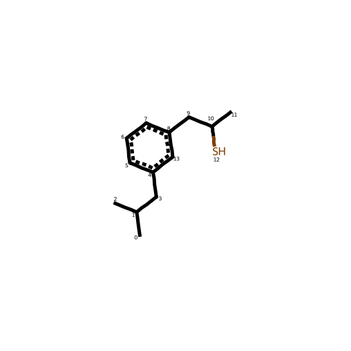 CC(C)Cc1cccc(CC(C)S)c1